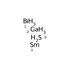 S.[BiH3].[GaH3].[Sm]